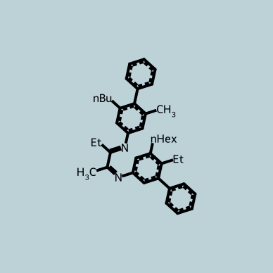 CCCCCCc1cc(N=C(C)C(CC)=Nc2cc(C)c(-c3ccccc3)c(CCCC)c2)cc(-c2ccccc2)c1CC